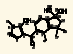 Cc1c(C(=O)c2cnn(C)c2O)ccc2c1C(C)(C)CS2(O)O